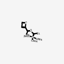 CCCC(OC(CC)[Si](OC)(OC)OC)C1CCO1